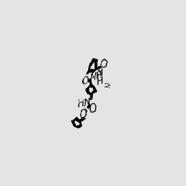 Cc1cccc(C(N)=O)c1NC(=O)c1ccc(CNC(=O)OCc2ccccc2)cc1